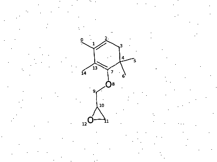 CC1=CCC(C)(C)C(OCC2CO2)=C1C